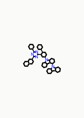 c1ccc(-c2nc(-c3ccc4ccccc4c3)nc(-c3cc(-n4c5ccccc5c5c(-n6c7ccccc7c7ccccc76)cccc54)ccc3-c3ccccc3)n2)cc1